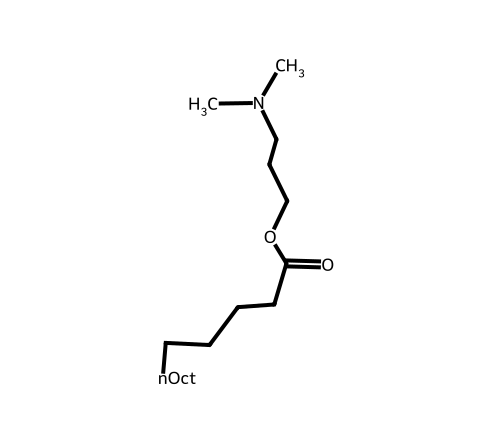 CCCCCCCCCCCCC(=O)OCCCN(C)C